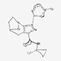 O=C(NC1(C(F)(F)F)CC1)c1nn(-c2c[n+]([O-])ccn2)c2c1CC1CCC2O1